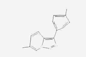 Cc1ccc2c(-c3ccc(Cl)cc3)nnn2c1